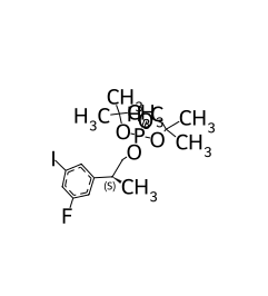 C[C@H](COP(=O)(OC(C)(C)C)OC(C)(C)C)c1cc(F)cc(I)c1